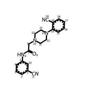 N#Cc1cccc(NC(=O)CN2CCN(c3ccccc3C#N)CC2)c1